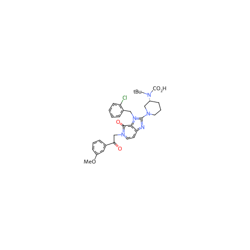 COc1cccc(C(=O)Cn2ccc3nc(N4CCC[C@@H](N(C(=O)O)C(C)(C)C)C4)n(Cc4ccccc4Cl)c3c2=O)c1